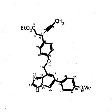 CC#C[C@@H](CC(=O)OCC)c1ccc(OCc2cc(-c3ccc(OC)cc3)cn3ncnc23)cc1